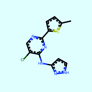 Cc1ccc(-c2ncc(Cl)c(Nc3cc[nH]n3)n2)s1